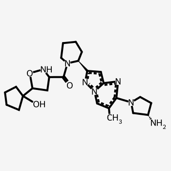 Cc1cn2nc([C@@H]3CCCCN3C(=O)C3CC(C4(O)CCCC4)ON3)cc2nc1N1CC[C@H](N)C1